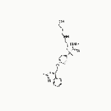 COC(=O)C(C)(CCCNCCCO)c1ccc(OCc2cc(C)nc3ccccc23)cc1